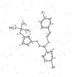 CCc1cnc(N(C/C=C/c2ccc(F)cc2)CCc2csc(SC(C)(C)C(=O)O)n2)nc1